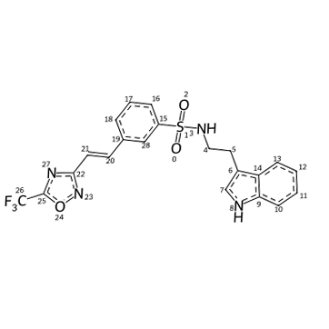 O=S(=O)(NCCc1c[nH]c2ccccc12)c1cccc(C=Cc2noc(C(F)(F)F)n2)c1